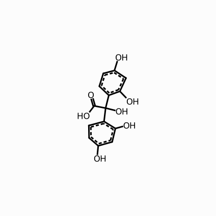 O=C(O)C(O)(c1ccc(O)cc1O)c1ccc(O)cc1O